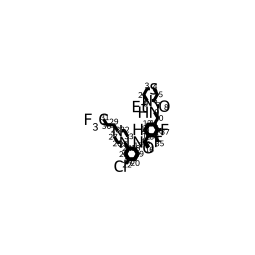 CCN1CCSC[C@H]1C(=O)NCc1ccc(C(=O)Nc2ccc(Cl)cc2N2CCN(CCC(F)(F)F)CC2)c(F)c1F